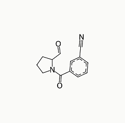 N#Cc1cccc(C(=O)N2CCCC2C=O)c1